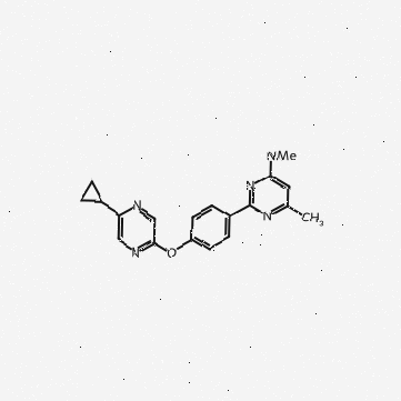 CNc1cc(C)nc(-c2ccc(Oc3cnc(C4CC4)cn3)cc2)n1